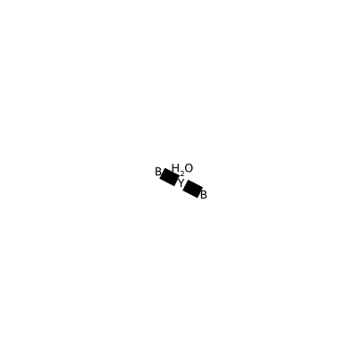 O.[B]#[Y]#[B]